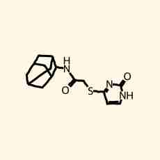 O=C(CSc1cc[nH]c(=O)n1)NC1C2CC3CC(C2)CC1C3